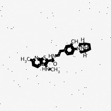 CNc1c(C(=O)NCCc2ccc(N3C[C@H]4CC[C@@H](C3)N4)c(C)c2)sc2nc(C)ccc12